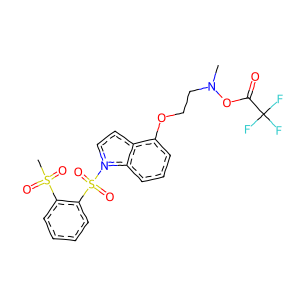 CN(CCOc1cccc2c1ccn2S(=O)(=O)c1ccccc1S(C)(=O)=O)OC(=O)C(F)(F)F